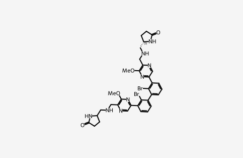 COc1nc(-c2cccc(-c3cccc(-c4cnc(CNC[C@@H]5CCC(=O)N5)c(OC)n4)c3Br)c2Br)cnc1CNCC1CCC(=O)N1